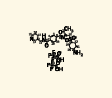 Cc1oc(-c2ccc(C(=O)NCc3cccnc3)cc2)nc1CS(=O)(=O)C1CCC(N)CC1.O=C(O)C(F)(F)F.O=C(O)C(F)(F)F